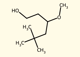 COC(CCO)CC(C)(C)C